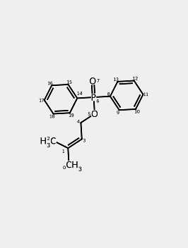 CC(C)=CCOP(=O)(c1ccccc1)c1ccccc1